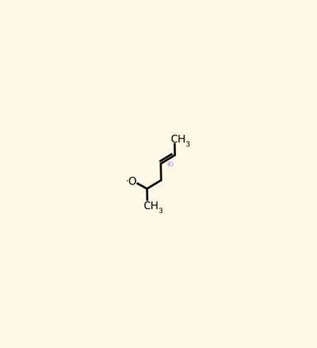 C/C=C/CC(C)[O]